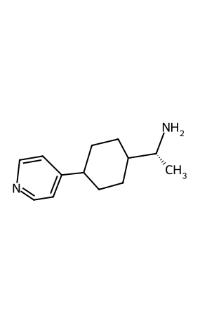 C[C@@H](N)C1CCC(c2ccncc2)CC1